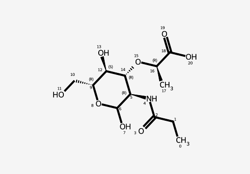 CCC(=O)N[C@H]1C(O)O[C@H](CO)[C@@H](O)[C@@H]1O[C@H](C)C(=O)O